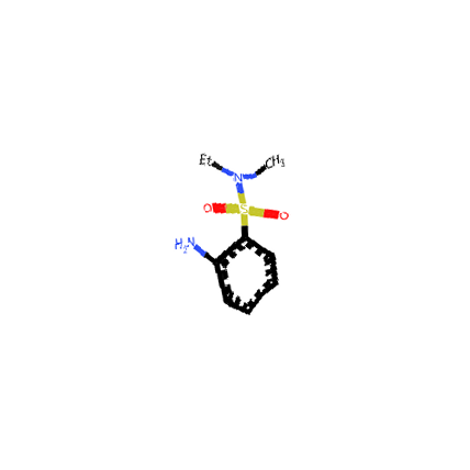 CCN(C)S(=O)(=O)c1ccccc1N